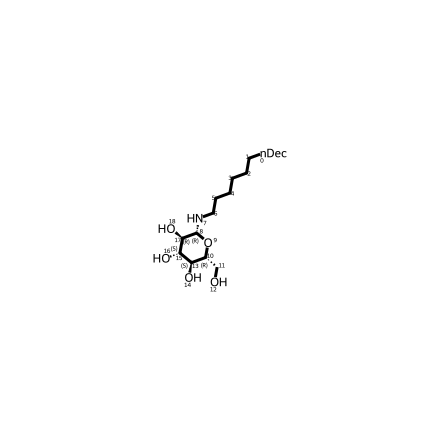 CCCCCCCCCCCCCCCCN[C@@H]1O[C@H](CO)[C@@H](O)[C@H](O)[C@H]1O